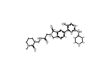 CN1CCCC(CNC(=O)CN2Cc3ccc(-c4nc(NC5CCOCC5)ncc4Cl)cc3C2=O)C1=O